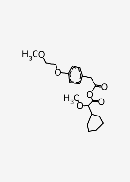 COCCOc1ccc(CC(=O)OC(=O)C(OC)C2CCCCC2)cc1